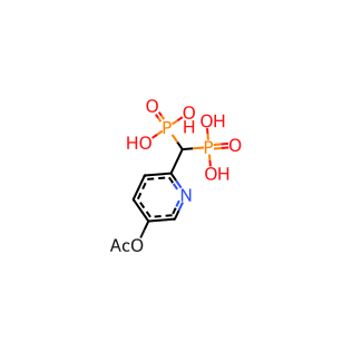 CC(=O)Oc1ccc(C(P(=O)(O)O)P(=O)(O)O)nc1